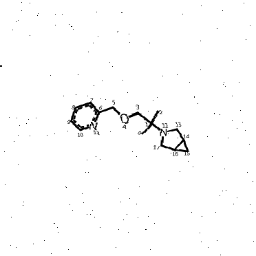 CC(C)(COCc1ccccn1)N1CC2CC2C1